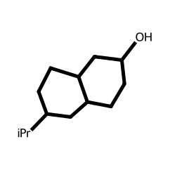 CC(C)C1CCC2CC(O)CCC2C1